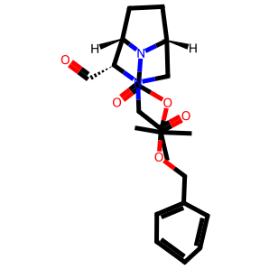 CC(C)(C)OC(=O)N1[C@@H]2CC[C@H]1[C@@H](C=O)N(CC(=O)OCc1ccccc1)C2